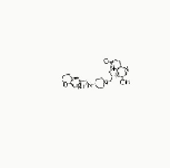 O=c1ccc2c3n1CC(CN1CCC(NCc4cc5c(cn4)OCCC5)CC1)N3C(O)C=N2